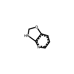 [c]1ccnc2c1OCN2